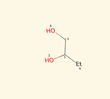 CCC(O)[CH]O